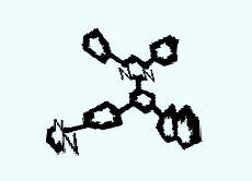 c1ccc(-c2cc(-c3ccccc3)nc(-c3cc(-c4ccc(-c5ncccn5)cc4)cc(-c4ccc5ccccc5c4)c3)n2)cc1